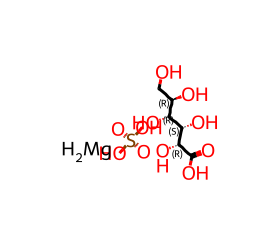 O=C(O)[C@H](O)[C@@H](O)[C@H](O)[C@H](O)CO.O=S(=O)(O)O.[MgH2]